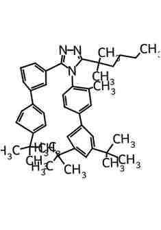 CCCCC(C)(C)c1nnc(-c2cccc(-c3ccc(C(C)(C)C)cc3)c2)n1-c1ccc(-c2cc(C(C)(C)C)cc(C(C)(C)C)c2)cc1C